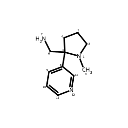 CN1CCCC1(CN)c1cccnc1